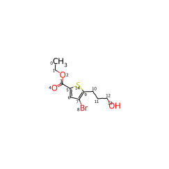 CCOC(=O)c1cc(Br)c(CCCO)s1